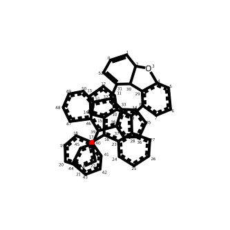 C1=CC2Oc3cccc(-c4c5ccccc5c(-c5cccnc5)c5ccccc45)c3C2C(c2c3ccccc3c(-c3ccccc3)c3ccccc23)=C1